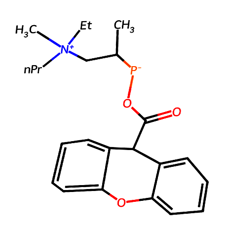 CCC[N+](C)(CC)CC(C)[P-]OC(=O)C1c2ccccc2Oc2ccccc21